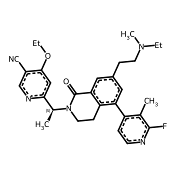 CCOc1cc([C@H](C)N2CCc3c(cc(CCN(C)CC)cc3-c3ccnc(F)c3C)C2=O)ncc1C#N